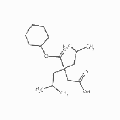 CC(C)CC(CC(=O)O)(CC(C)C)C(=O)OC1CCCCC1